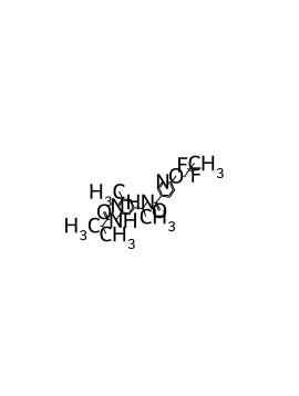 Cc1cc(C(C)NC(=O)c2ccc(OCC(C)(F)F)nc2)cc(NC(=O)C(C)C)n1